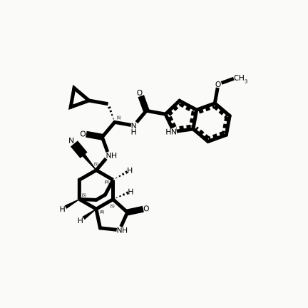 COc1cccc2[nH]c(C(=O)N[C@@H](CC3CC3)C(=O)N[C@@]3(C#N)C[C@@H]4CC[C@@H]3[C@H]3C(=O)NC[C@H]43)cc12